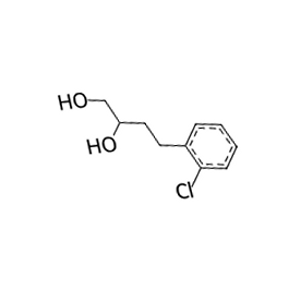 OCC(O)CCc1ccccc1Cl